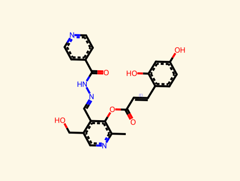 Cc1ncc(CO)c(C=NNC(=O)c2ccncc2)c1OC(=O)/C=C/c1ccc(O)cc1O